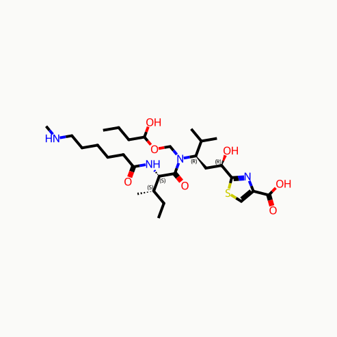 CCCC(O)OCN(C(=O)[C@@H](NC(=O)CCCCCNC)[C@@H](C)CC)[C@H](C[C@@H](O)c1nc(C(=O)O)cs1)C(C)C